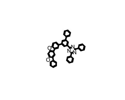 c1ccc(-c2cc(-c3ccc4oc5cc6oc7ccccc7c6cc5c4c3)cc(-c3nc(-c4ccccc4)nc(-c4ccccc4)n3)c2)cc1